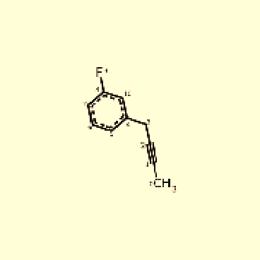 CC#CCc1cccc(F)c1